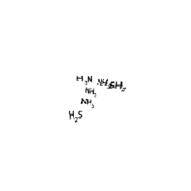 N.N.N.N.S.S